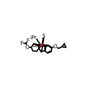 CC(C)N1C(=O)C2(NC1=S)c1cc(OCC3CC3)ccc1CC21CCC(OC(F)F)CC1